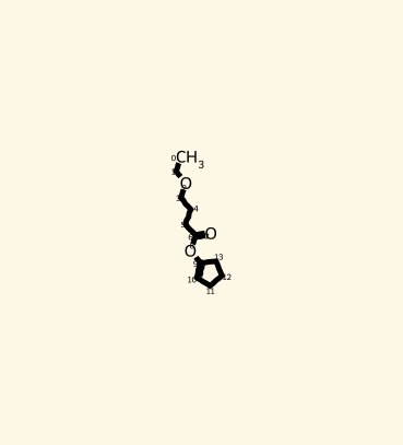 CCOCCCC(=O)OC1=CCCC1